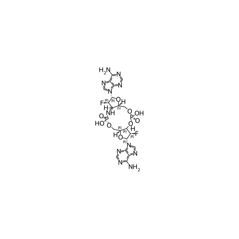 Nc1ncnc2c1ncn2[C@@H]1O[C@@H]2COP(=O)(O)O[C@H]3[C@@H](F)[C@H](n4cnc5c(N)ncnc54)O[C@@H]3COP(=O)(O)N[C@H]2[C@H]1F